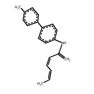 C=C(/C=C\C=C/C)Nc1ccc(-c2ccc(C)cc2)cc1